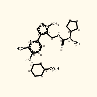 Cc1nc(-c2cnn(C)c2COC(=O)N(C)C2CCCC2)cnc1O[C@H]1CCCC(C(=O)O)C1